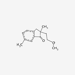 COCCC1(C)Cc2ccc(C)cc2C1=O